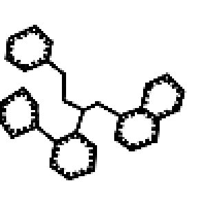 c1ccc(CC[C](Cc2cccc3ccccc23)c2ccccc2-c2ccccc2)cc1